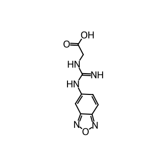 N=C(NCC(=O)O)Nc1ccc2nonc2c1